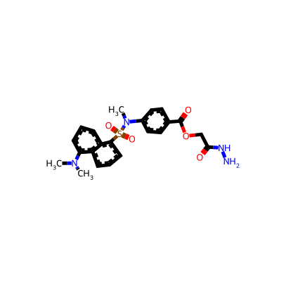 CN(C)c1cccc2c(S(=O)(=O)N(C)c3ccc(C(=O)OCC(=O)NN)cc3)cccc12